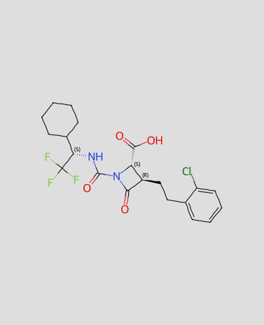 O=C(O)[C@@H]1[C@@H](CCc2ccccc2Cl)C(=O)N1C(=O)N[C@@H](C1CCCCC1)C(F)(F)F